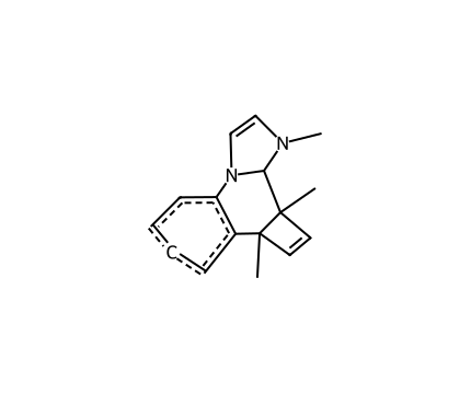 CN1C=CN2c3ccccc3C3(C)C=CC3(C)C12